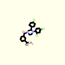 [C-]#[N+]C(C)c1cccc(C(=O)N2CCN(c3ccc(Cl)cc3Cl)C(c3ccc(Cl)cc3)C2)c1